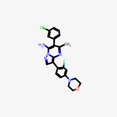 Cc1nc2c(-c3ccc(N4CCOCC4)cc3F)cnn2c(N)c1-c1cccc(Cl)c1